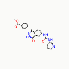 COC(=O)c1ccc(Cc2n[nH]c(=O)c3cc(NC(=O)Nc4cccnc4)ccc23)cc1